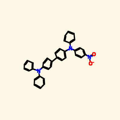 O=[N+]([O-])c1ccc(N(c2ccccc2)c2ccc(-c3ccc(N(c4ccccc4)c4ccccc4)cc3)cc2)cc1